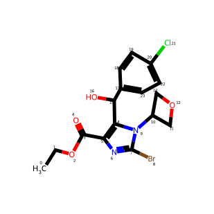 CCOC(=O)c1nc(Br)n(C2COC2)c1C(O)c1ccc(Cl)cc1